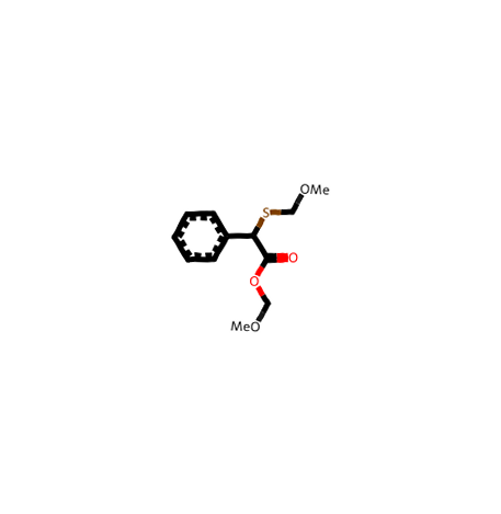 COCOC(=O)C(SCOC)c1ccccc1